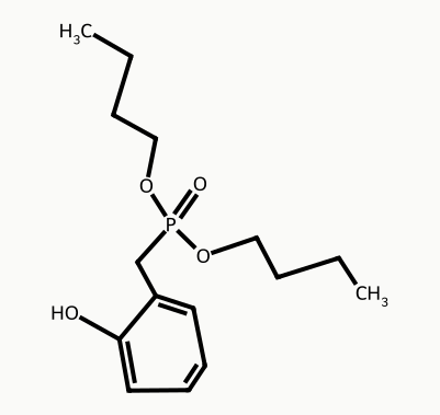 CCCCOP(=O)(Cc1ccccc1O)OCCCC